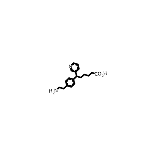 NCCc1ccc(C(CCCCC(=O)O)c2cccnc2)cc1